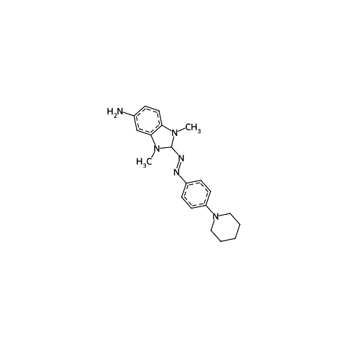 CN1c2ccc(N)cc2N(C)C1N=Nc1ccc(N2CCCCC2)cc1